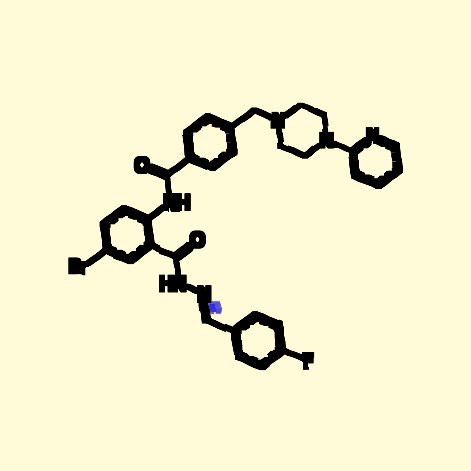 O=C(Nc1ccc(Br)cc1C(=O)N/N=C/c1ccc(F)cc1)c1ccc(CN2CCN(c3ccccn3)CC2)cc1